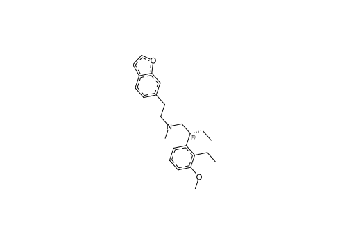 CCc1c(OC)cccc1[C@@H](CC)CN(C)CCc1ccc2ccoc2c1